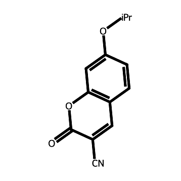 CC(C)Oc1ccc2cc(C#N)c(=O)oc2c1